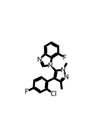 Cc1nn(C)c(-n2cnc3cccc(F)c32)c1-c1ccc(F)cc1Cl